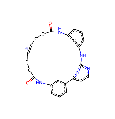 O=C1CC/C=C\CCC(=O)Nc2cccc(c2)-c2ccnc(n2)Nc2cccc(c2)N1